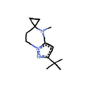 CN1c2cc(C(C)(C)C)nn2CCC12CC2